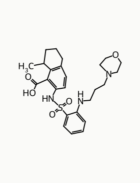 CC1CCCc2ccc(NS(=O)(=O)c3ccccc3NCCCN3CCOCC3)c(C(=O)O)c21